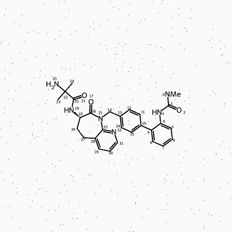 CNC(=O)Nc1ccccc1-c1ccc(CN2C(=O)[C@H](NC(=O)C(C)(C)N)CCc3cccnc32)cc1